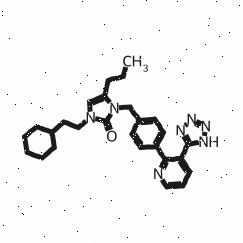 CCCc1cn(CCC2CCCCC2)c(=O)n1Cc1ccc(-c2ncccc2-c2nnn[nH]2)cc1